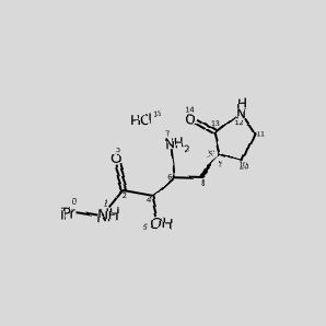 CC(C)NC(=O)C(O)C(N)C[C@@H]1CCNC1=O.Cl